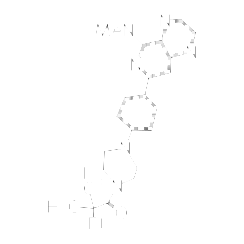 CCC(C)(C)C(=O)N1CCN(c2ccc(-c3cc4nccnc4c(NC)n3)cc2)CC1